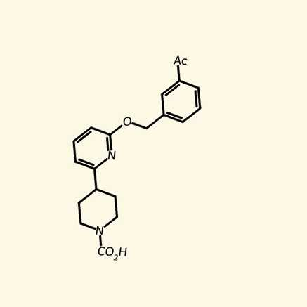 CC(=O)c1cccc(COc2cccc(C3CCN(C(=O)O)CC3)n2)c1